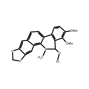 CCOC1c2c(ccc(OC)c2OC)-c2ccc3cc4c(cc3c2N1C)OCO4